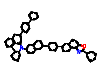 c1ccc(-c2ccc(-c3cccc(N(c4ccc5cc(-c6ccc(-c7ccc8c(ccc9oc(-c%10ccccc%10)nc98)c7)cc6)ccc5c4)c4ccccc4-c4ccccc4)c3)cc2)cc1